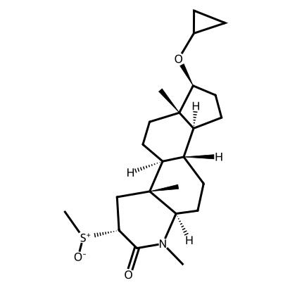 CN1C(=O)[C@H]([S+](C)[O-])C[C@]2(C)[C@H]3CC[C@]4(C)[C@@H](OC5CC5)CC[C@H]4[C@@H]3CC[C@@H]12